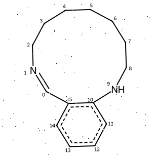 C1=NCCCCCCCNc2ccccc21